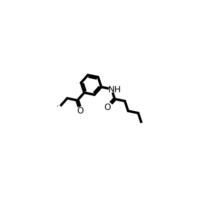 [CH2]CC(=O)c1cccc(NC(=O)CCCC)c1